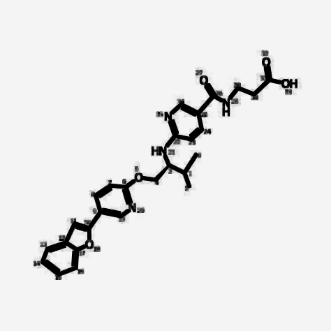 CC(C)[C@@H](COc1ccc(-c2cc3ccccc3o2)cn1)Nc1ccc(C(=O)NCCC(=O)O)cn1